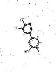 [CH2]CCc1cc(-c2ccc(Cl)c(F)c2)ccc1F